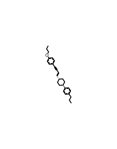 CCCOc1ccc(C#CC=C[C@H]2CC[C@H](c3ccc(CCC)cc3)CC2)cc1